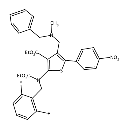 CCOC(=O)c1c(N(Cc2c(F)cccc2F)C(=O)OCC)sc(-c2ccc([N+](=O)[O-])cc2)c1CN(C)Cc1ccccc1